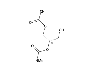 CNC(=O)O[C@@H](CO)COC(=O)C#N